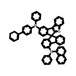 C1=CCCC(c2ccc(N(c3ccccc3)c3ccc4c(c3)-c3c(sc5ccccc35)C43c4ccccc4-c4c(N(c5ccccc5)c5cccc6ccccc56)cccc43)cc2)=C1